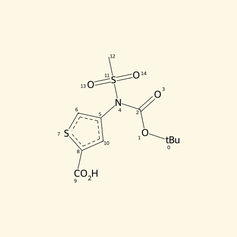 CC(C)(C)OC(=O)N(c1csc(C(=O)O)c1)S(C)(=O)=O